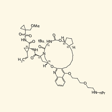 C=CC1C[C@]1(NC(=O)[C@@H]1C[C@@H]2CN1C(=O)[C@H](C(C)(C)C)NC(=O)O[C@@H]1CCC[C@H]1CCCCCc1c(nc3ccccc3c1OCCCOCCNCCC)O2)C(=O)NS(=O)(=O)C1(COC)CC1